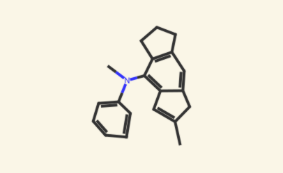 CC1=Cc2c(cc3c(c2N(C)c2ccccc2)CCC3)C1